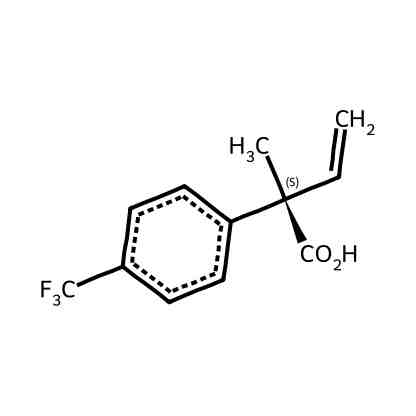 C=C[C@](C)(C(=O)O)c1ccc(C(F)(F)F)cc1